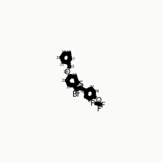 FC(F)(F)Oc1ccc(-c2sc3cc(OCc4ccccc4)ccc3c2Br)cc1